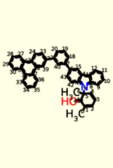 CC1=CC=CC(C)(n2c3ccccc3c3cc(-c4cccc(-c5ccc6c7ccccc7c7ccccc7c6c5)c4)ccc32)C1O